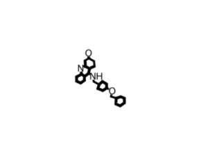 O=C1C=c2nc3ccccc3c(NCc3ccc(OCc4ccccc4)cc3)c2=CC1